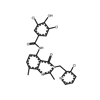 Cc1ccc(NC(=O)c2cc(Cl)c(O)c(Cl)c2)c2c(=O)n(Cc3ncccc3Cl)c(C)nc12